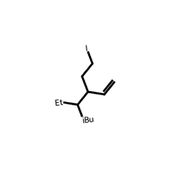 C=CC(CCI)C(CC)C(C)CC